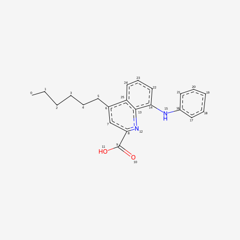 CCCCCCc1cc(C(=O)O)nc2c(Nc3ccccc3)cccc12